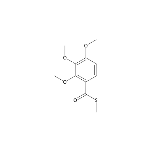 COc1ccc(C(=O)SC)c(OC)c1OC